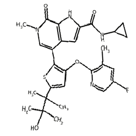 Cc1cc(F)cnc1Oc1cc(C(C)(C)C(C)(C)O)sc1-c1cn(C)c(=O)c2[nH]c(C(=O)NC3CC3)cc12